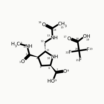 CNC(=O)[C@@H]1C[C@H](C(=O)O)N[C@H]1CNC(C)=O.O=C(O)C(F)(F)F